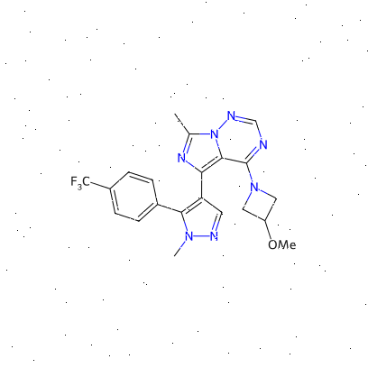 COC1CN(c2ncnn3c(C)nc(-c4cnn(C)c4-c4ccc(C(F)(F)F)cc4)c23)C1